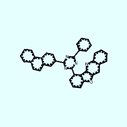 c1ccc(-c2nc(-c3ccc4c(ccc5ccccc54)c3)nc(-c3cccc4oc5cc6ccccc6nc5c34)n2)cc1